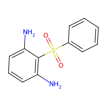 Nc1cccc(N)c1S(=O)(=O)c1ccccc1